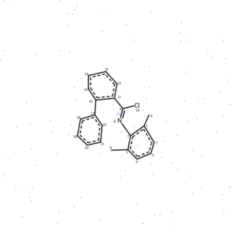 Cc1cccc(C)c1/N=C(\Cl)c1ccccc1-c1ccccc1